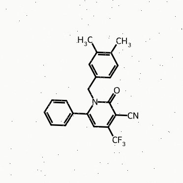 Cc1ccc(Cn2c(-c3ccccc3)cc(C(F)(F)F)c(C#N)c2=O)cc1C